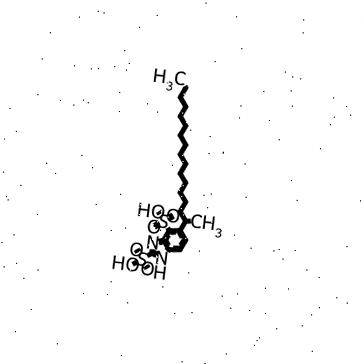 CCCCCCCCCCCCCCCC(C)c1ccc2[nH]c(S(=O)(=O)O)nc2c1S(=O)(=O)O